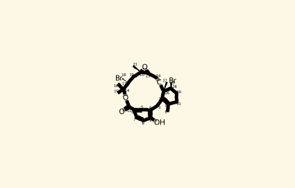 CC1=C2Cc3cc(ccc3O)C(=O)OC(C)(C)[C@H](Br)C[C@]3(C)OC3CC[C@]2(C)[C@@H](Br)CC1